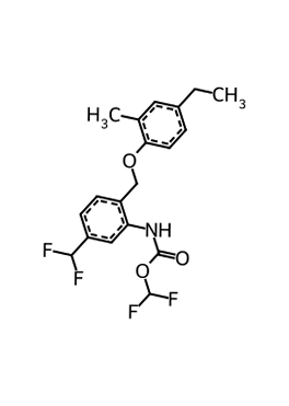 CCc1ccc(OCc2ccc(C(F)F)cc2NC(=O)OC(F)F)c(C)c1